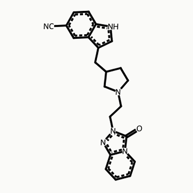 N#Cc1ccc2[nH]cc(CC3CCN(CCn4nc5ccccn5c4=O)C3)c2c1